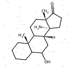 C[C@]12CCCCC1C(O)C[C@@H]1C2CC[C@]2(C)C(=O)CC[C@@]12N